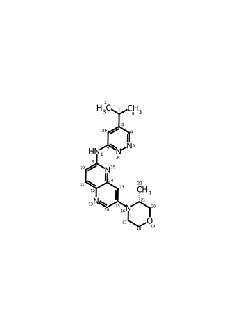 CC(C)c1cnnc(Nc2ccc3ncc(N4CCOC[C@H]4C)cc3n2)c1